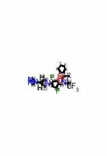 O=S1(=O)[C@H](c2ccccc2)CC[C@H](C(F)(F)F)N1Cc1cc(F)c(N2C[C@@H]3[C@H](C2)[C@@H]3n2cnnc2)cc1F